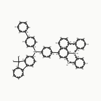 CC1(C)c2ccccc2-c2ccc(N(c3ccc(-c4ccccc4)cc3)c3ccc(-c4cc5oc6ccccc6n6c7ccccc7c7cccc4c7c5-6)cc3)cc21